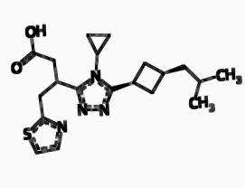 CC(C)C[C@H]1C[C@@H](c2nnc(C(CC(=O)O)Cc3nccs3)n2C2CC2)C1